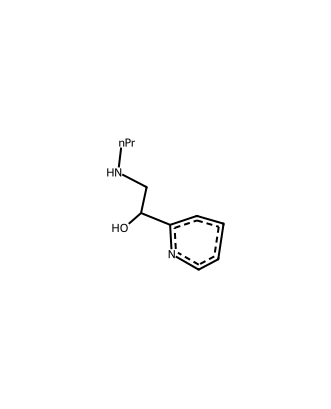 CCCNCC(O)c1ccccn1